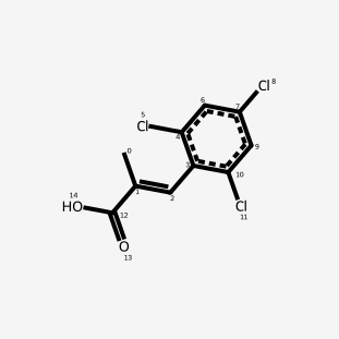 C/C(=C\c1c(Cl)cc(Cl)cc1Cl)C(=O)O